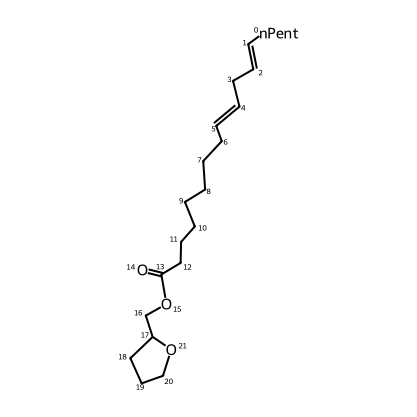 CCCCCC=CCC=CCCCCCCCC(=O)OCC1CCCO1